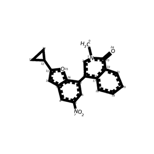 Cn1cc(-c2cc([N+](=O)[O-])cc3cc(C4CC4)oc23)c2ccccc2c1=O